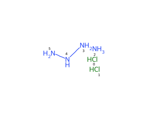 Cl.Cl.N.NNN